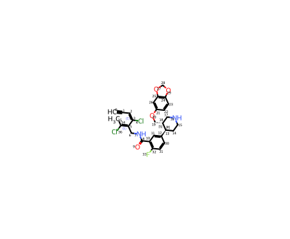 C#C/C=C(Cl)\C(CNC(=O)c1cc([C@@H]2CCNC[C@H]2COc2ccc3c(c2)OCO3)ccc1F)=C(/C)Cl